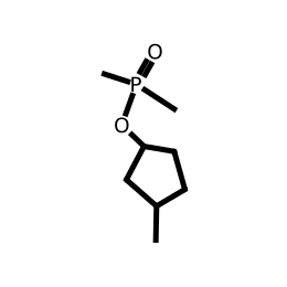 CC1CCC(OP(C)(C)=O)C1